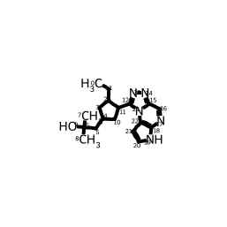 CCC1CC(CC(C)(C)O)CC1c1nnc2cnc3[nH]ccc3n12